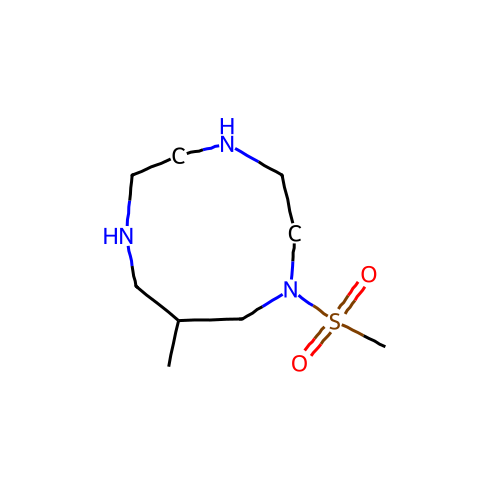 CC1CNCCNCCN(S(C)(=O)=O)C1